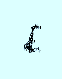 CC1CCCN(c2nc(C(F)(F)F)c(C(=O)Nc3ccc(N4CCC(COc5cc(C(=O)O)ccc5F)CC4)nc3)o2)C1